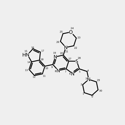 [CH]1CCN(Cc2nc3nc(-c4cccc5[nH]ccc45)nc(N4CCOCC4)c3s2)CC1